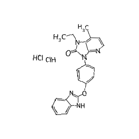 CCn1c(=O)n(-c2ccc(Oc3nc4ccccc4[nH]3)cc2)c2nccc(C)c21.Cl.Cl